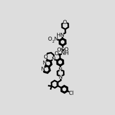 CC1(C)CCC(CN2CCN(c3ccc(C(=O)NS(=O)(=O)c4ccc(NCC5CCOCC5)c([N+](=O)[O-])c4)c(N4CCCOc5nc6ncccc6cc54)c3)CC2)=C(c2ccc(Cl)cc2)C1